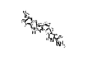 Bc1ccc(Nc2nc3cc(Oc4ccnc(C(N)=O)c4)ccc3n2C)cc1F